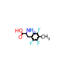 Cc1c(F)c(F)c(CC(N)C(=O)O)c(F)c1F